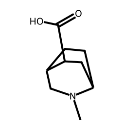 CN1CC2CCC1CC2C(=O)O